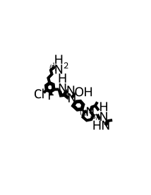 CC(=N)NCC[C@@H]1CCC[C@@H](c2ccc(N3C=c4cc(-c5cc(CCC[C@H](C)N)cc(Cl)c5F)[nH]c4=NC3O)cc2)N1CC(C)C